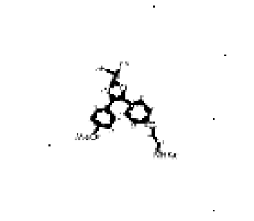 COc1ccc(-c2nc(C(F)F)oc2-c2ccc(OCCNC(C)=O)cc2)cc1